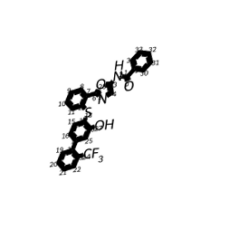 O=C(Nc1cnc(-c2ccccc2Sc2ccc(-c3ccccc3C(F)(F)F)cc2O)o1)c1ccccc1